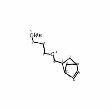 COCCCOCC1CC2C=CC1C2